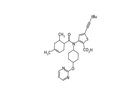 CC1=CCC(C(=O)N(c2cc(C#CC(C)(C)C)sc2C(=O)O)C2CCC(Oc3ncccn3)CC2)C(C)C1